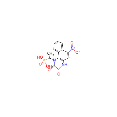 CC(n1c(=O)c(=O)[nH]c2cc([N+](=O)[O-])c3ccccc3c21)P(=O)(O)O